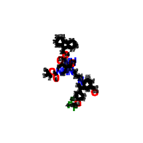 CC(C)(C)OC(=O)N1CCC(NC(=O)OCC2c3ccccc3-c3ccccc32)(C(=O)NCCCn2cc(-c3ccc(OC(F)(F)F)cc3)c3cc(C=O)ccc32)CC1